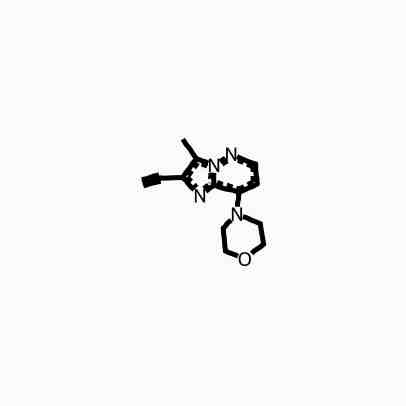 C#Cc1nc2c(N3CCOCC3)ccnn2c1C